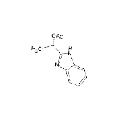 CC(=O)O[C@@H](C)c1nc2ccccc2[nH]1